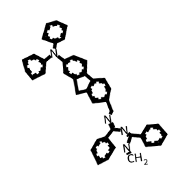 C=N/C(=N\C(=N/Cc1ccc2c(c1)Cc1cc(N(c3ccccc3)c3ccccc3)ccc1-2)c1ccccc1)c1ccccc1